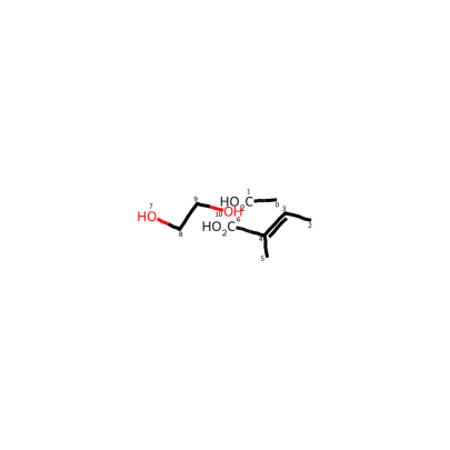 CC(=O)O.CC=C(C)C(=O)O.OCCO